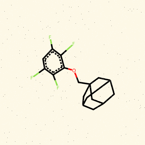 Fc1cc(F)c(F)c(OCC23CC4CC(CC(C4)C2)C3)c1F